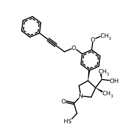 COc1ccc([C@@H]2CN(C(=O)CS)C[C@@]2(C)[C@@H](C)O)cc1OCC#Cc1ccccc1